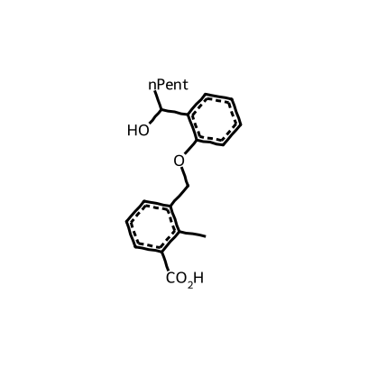 CCCCCC(O)c1ccccc1OCc1cccc(C(=O)O)c1C